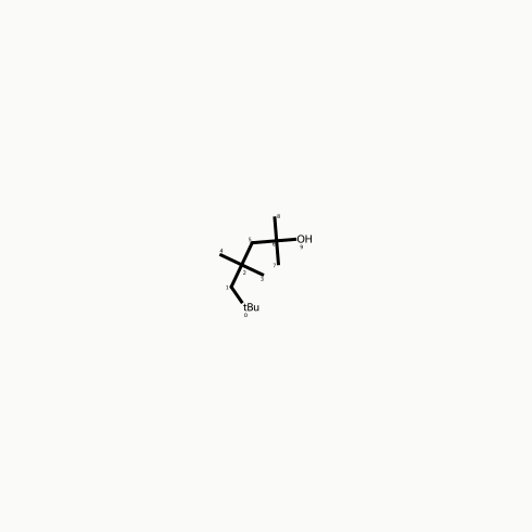 CC(C)(C)CC(C)(C)CC(C)(C)O